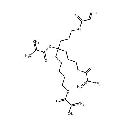 C=CC(=O)OCCCC(CC[CH]CCOC(=O)C(=C)C)(CCCOC(=O)C(=C)C)OC(=O)C(=C)C